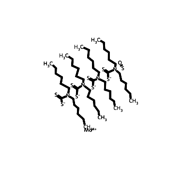 CCCCCCN(CCCCCC)C(=S)[S-].CCCCCCN(CCCCCC)C(=S)[S-].CCCCCCN(CCCCCC)C(=S)[S-].CCCCCCN(CCCCCC)C(=S)[S-].O=S.[Mo+4]